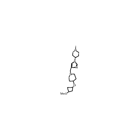 COC1CC(OC2CCN(Cc3cn(C4CCN(C)CC4)cn3)CC2)C1